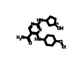 CCOC1CCC(Nc2nc(NC3CC[C@@H](O)C3)ncc2C(N)=O)CC1